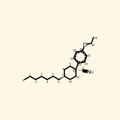 CCCCCCC[C@H]1CC[C@@](C#N)(c2ccc(OCC)cc2)CC1